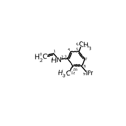 C=CNc1cc(C)cc(C(C)C)c1C